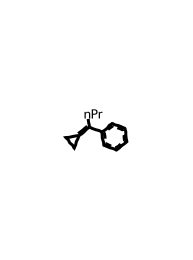 CCCC(=C1CC1)c1ccccc1